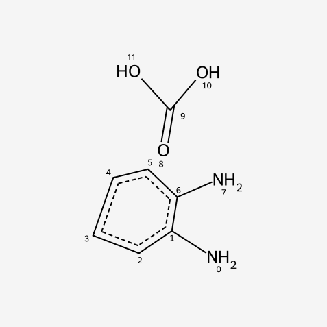 Nc1ccccc1N.O=C(O)O